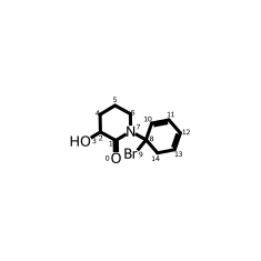 O=C1C(O)CCCN1C1(Br)C=CC=CC1